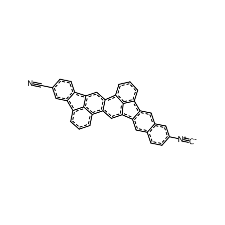 [C-]#[N+]c1ccc2cc3c(cc2c1)c1cccc2c4cc5c6ccc(C#N)cc6c6cccc(c4cc3c12)c65